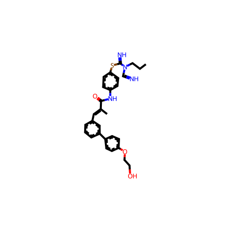 CCCN(C=N)C(=N)Sc1ccc(NC(=O)/C(C)=C/c2cccc(-c3ccc(OCCO)cc3)c2)cc1